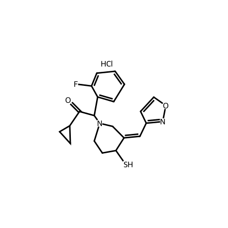 Cl.O=C(C1CC1)C(c1ccccc1F)N1CCC(S)C(=Cc2ccon2)C1